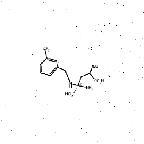 CC(C)(C)C(C[C@@](N)(NCc1cccc(C(F)(F)F)c1)C(=O)O)C(=O)O